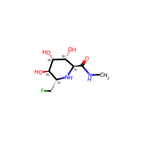 CNC(=O)[C@H]1N[C@H](CF)[C@@H](O)[C@H](O)[C@@H]1O